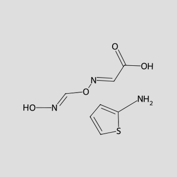 Nc1cccs1.O=C(O)C=NOC=NO